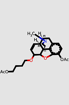 CC(=O)OCCCCOC1C=C[C@H]2[C@H]3Cc4ccc(OC(C)=O)c5c4[C@@]2(CCN3C)C1O5